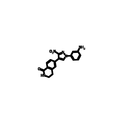 Nc1cccc(-n2cc(-c3ccc4c(c3)CCNC4=O)c([N+](=O)[O-])n2)c1